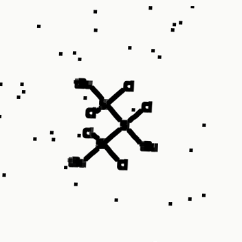 CC(C)(C)[Si](Cl)(Cl)[Si](Cl)(C(C)(C)C)[Si](Cl)(Cl)C(C)(C)C